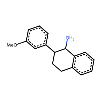 COc1cccc(C2CCc3ccccc3C2N)c1